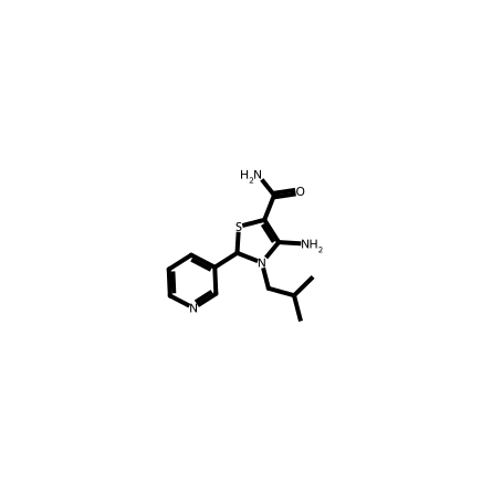 CC(C)CN1C(N)=C(C(N)=O)SC1c1cccnc1